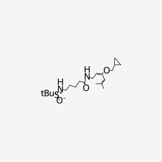 CC(C)=C/C(=C\CNC(=O)CCCCN[S+]([O-])C(C)(C)C)OCC1CC1